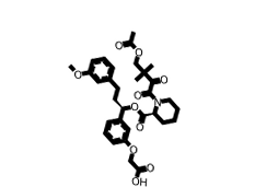 COc1cccc(CC[C@@H](OC(=O)[C@@H]2CCCCN2C(=O)C(=O)C(C)(C)COC(C)=O)c2cccc(OCC(=O)O)c2)c1